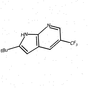 CC(C)(C)c1cc2cc(C(F)(F)F)cnc2[nH]1